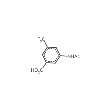 CC(=O)Nc1cc(C(=O)O)cc(C(F)(F)F)c1